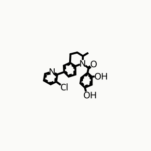 CC1CCc2cc(-c3ncccc3Cl)ccc2N1C(=O)c1ccc(O)cc1O